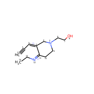 C#C/C=C1/CN(CCO)CC/C1=N/CC